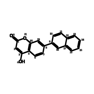 O=c1cc(O)c2ccc(-c3ccc4ccccc4c3)cc2o1